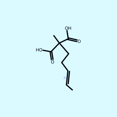 C/C=C/CCC(C)(C(=O)O)C(=O)O